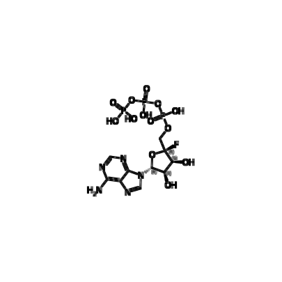 Nc1ncnc2c1ncn2[C@@H]1O[C@](F)(COP(=O)(O)OP(=O)(O)OP(=O)(O)O)[C@@H](O)[C@H]1O